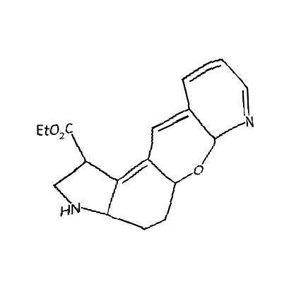 CCOC(=O)C1CNC2CCC3OC4N=CC=CC4=CC3=C21